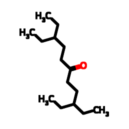 CCC(CC)CCC(=O)CCC(CC)CC